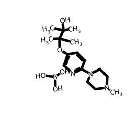 CN1CCN(c2ccc(OC(C)(C)C(C)(C)O)cn2)CC1.OB(O)O